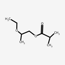 CCOC(C)COC(=O)C(C)C